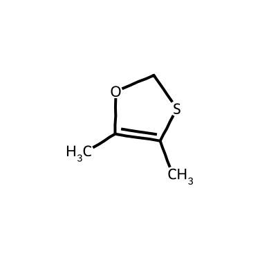 CC1=C(C)SCO1